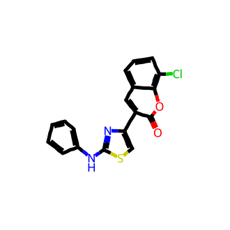 O=c1oc2c(Cl)cccc2cc1-c1csc(Nc2ccccc2)n1